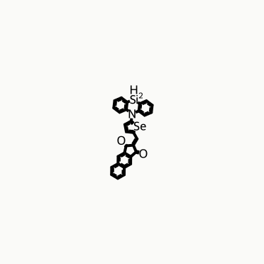 O=C1C(=Cc2ccc(N3c4ccccc4[SiH2]c4ccccc43)[se]2)C(=O)c2cc3ccccc3cc21